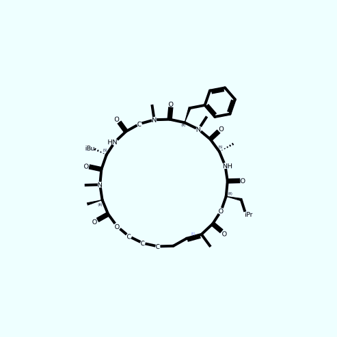 CCC(C)[C@@H]1NC(=O)CN(C)C(=O)[C@@H](Cc2ccccc2)N(C)C(=O)[C@H](C)NC(=O)[C@@H](CC(C)C)OC(=O)/C(C)=C/CCCCOC(=O)[C@@H](C)N(C)C1=O